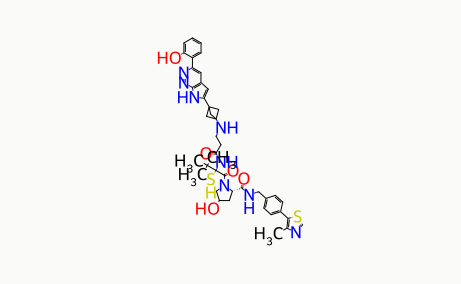 Cc1ncsc1-c1ccc(CNC(=O)[C@@H]2C[C@@H](O)CN2C(=O)C(S)(NC(=O)CCNC23CC(c4cc5cc(-c6ccccc6O)nnc5[nH]4)(C2)C3)C(C)(C)C)cc1